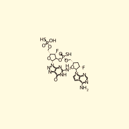 Nc1nc2c(nnn2[C@@H]2O[C@H](COP(=O)(O)S)[C@H](F)C2OP(=O)(S)OC[C@@H]2C[C@H](F)[C@@H](n3ccc4c(N)ncnc43)O2)c(=O)[nH]1